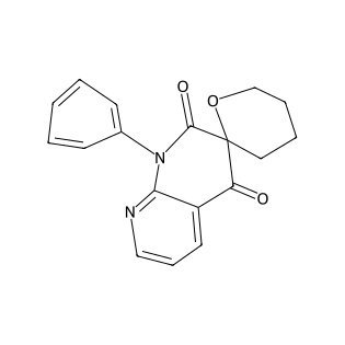 O=C1c2cccnc2N(c2ccccc2)C(=O)C12CCCCO2